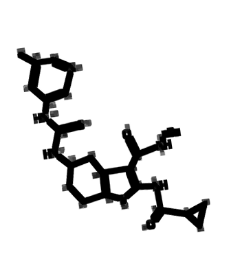 CCCCNC(=O)c1c(NC(=O)C2CC2)sc2c1CC(NC(=S)Nc1cncc(C)c1)CC2